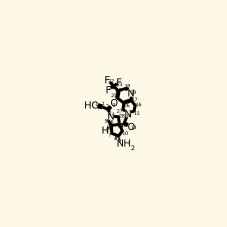 C#CC(=O)N1C[C@@H]2C[C@@H](N)C[C@]2(C(=O)N2CCc3ncc(C(F)(F)F)cc3C2)C1